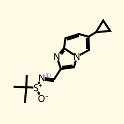 CC(C)(C)[S+]([O-])/N=C/c1cn2cc(C3CC3)ccc2n1